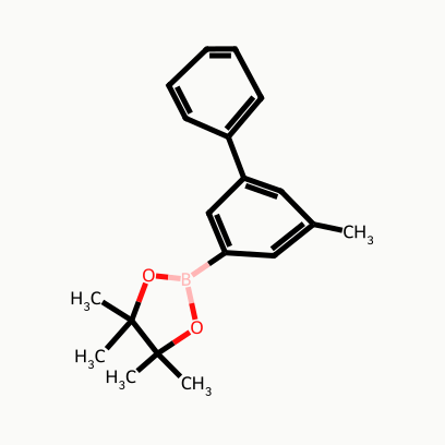 Cc1cc(B2OC(C)(C)C(C)(C)O2)cc(-c2ccccc2)c1